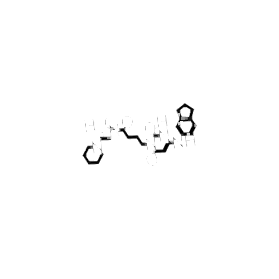 CN(CCN1CCCCC1)C(=O)CCCn1c(=O)cc(Nc2ccc3c(c2)CCC3)[nH]c1=O